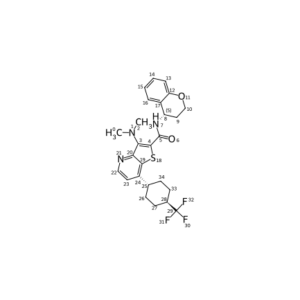 CN(C)c1c(C(=O)N[C@H]2CCOc3ccccc32)sc2c1nccc2[C@H]1CC[C@H](C(F)(F)F)CC1